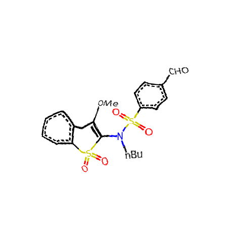 CCCCN(C1=C(OC)c2ccccc2S1(=O)=O)S(=O)(=O)c1ccc(C=O)cc1